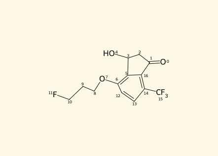 O=C1CC(O)c2c(OCCCF)ccc(C(F)(F)F)c21